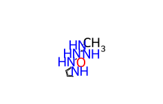 CNC(=N)NC(=O)Nc1ccc[nH]1